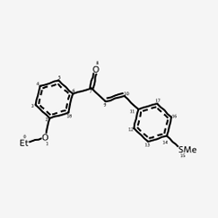 CCOc1cccc(C(=O)C=Cc2ccc(SC)cc2)c1